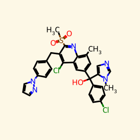 Cc1cc(C(O)(c2ccc(Cl)cc2)c2cncn2C)cc2c(Cl)c(Cc3ccc(-n4cccn4)cc3)c(S(C)(=O)=O)nc12